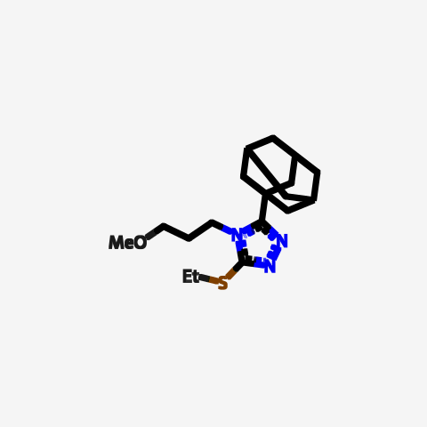 CCSc1nnc(C23CC4CC(CC(C4)C2)C3)n1CCCOC